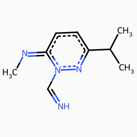 C/N=c1/ccc(C(C)C)nn1C=N